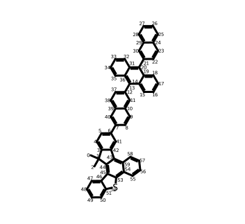 CC1(C)c2ccc(-c3ccc4cc(-c5c6ccccc6c(-c6ccc7ccccc7c6)c6ccccc56)ccc4c3)cc2-c2c1c1c3ccccc3sc1c1ccccc21